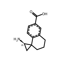 N[C@@H]1CC12CCCc1cc(C(=O)O)ccc12